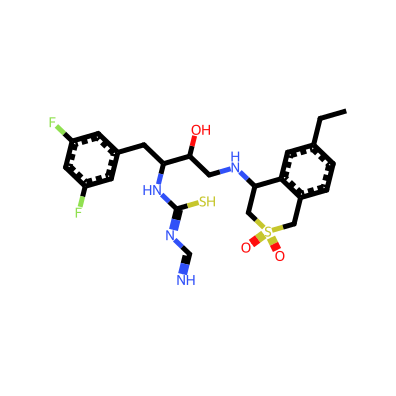 CCc1ccc2c(c1)C(NCC(O)C(Cc1cc(F)cc(F)c1)N/C(S)=N/C=N)CS(=O)(=O)C2